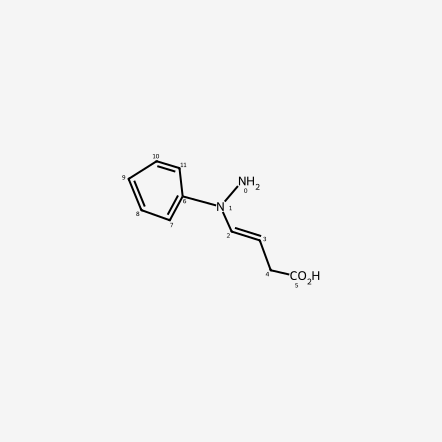 NN(C=CCC(=O)O)c1ccccc1